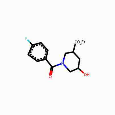 CCOC(=O)C1CC(O)CN(C(=O)c2ccc(F)cc2)C1